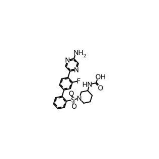 Nc1cnc(-c2ccc(-c3ccccc3S(=O)(=O)N3CCCC(NC(=O)O)C3)cc2F)cn1